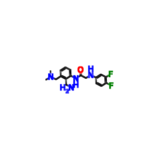 CN(C)Cc1cccc(NC(=O)CNc2ccc(F)c(F)c2)c1CN